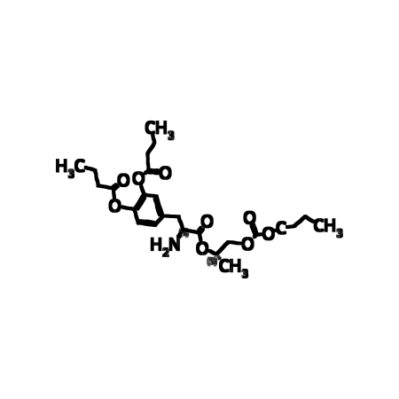 CCCCOC(=O)OC[C@H](C)OC(=O)[C@@H](N)Cc1ccc(OC(=O)CCC)c(OC(=O)CCC)c1